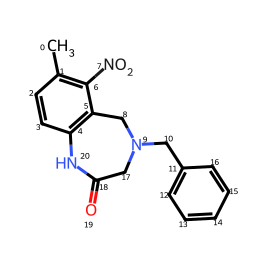 Cc1ccc2c(c1[N+](=O)[O-])CN(Cc1ccccc1)CC(=O)N2